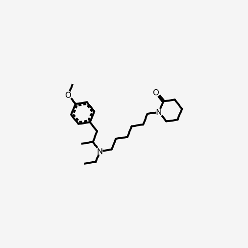 CCN(CCCCCCN1CCCCC1=O)C(C)Cc1ccc(OC)cc1